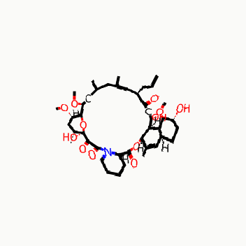 C=CC[C@@H]1/C=C(\C)CC(C)C[C@H](OC)[C@H]2O[C@@](O)(C(=O)C(=O)N3CCCC[C@H]3C(=O)O[C@@H]3C(C)=C[C@@H]4CC[C@@H](O)[C@H](OC)C4[C@@H]3[C@@H](O)CC1=O)[C@H](C)C[C@@H]2OC